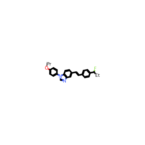 CCC(F)c1ccc(C=Cc2ccc3c(c2)ncn3-c2ccc(OC(C)C)cc2)cc1